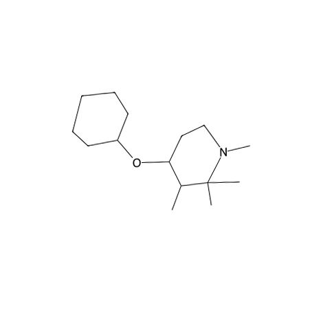 CC1C(OC2CCCCC2)CCN(C)C1(C)C